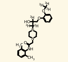 [2H]C([2H])([2H])Oc1ccccc1OCC([2H])(O)C([2H])([2H])N1CCN(CC(=O)Nc2c(C)cccc2C)CC1